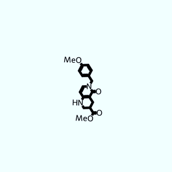 COC(=O)C1CNc2ccn(Cc3ccc(OC)cc3)c(=O)c2C1